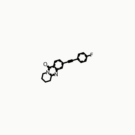 O=c1c2ccc(C#Cc3ccc(F)cc3)cc2nc2n1CCCC2